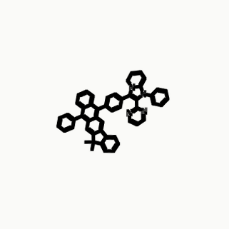 CC1(C)c2ccccc2-c2cc3c(-c4ccc(C5=C(c6ncccn6)N(c6ccccc6)C6=CC=CCN65)cc4)c4ccccc4c(-c4ccccc4)c3cc21